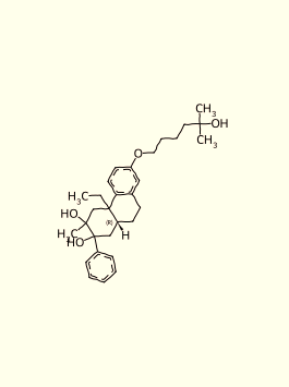 CCC12CC(C)(O)C(O)(c3ccccc3)C[C@H]1CCc1cc(OCCCCC(C)(C)O)ccc12